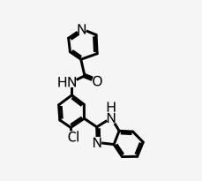 O=C(Nc1ccc(Cl)c(-c2nc3ccccc3[nH]2)c1)c1ccncc1